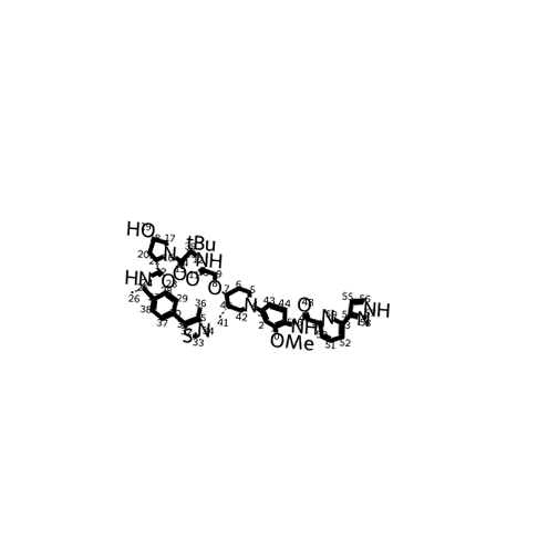 COc1cc(N2CC[C@@H](OCC(=O)N[C@H](C(=O)N3C[C@H](O)C[C@H]3C(=O)N[C@@H](C)c3ccc(-c4scnc4C)cc3)C(C)(C)C)[C@@H](C)C2)ccc1NC(=O)c1cccc(-c2cc[nH]n2)n1